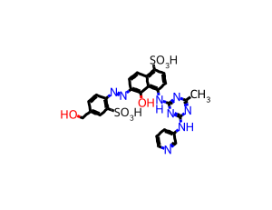 Cc1nc(Nc2cccnc2)nc(Nc2ccc(S(=O)(=O)O)c3ccc(N=Nc4ccc(CO)cc4S(=O)(=O)O)c(O)c23)n1